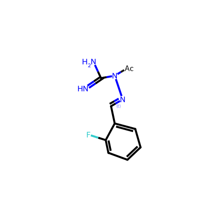 CC(=O)N(/N=C/c1ccccc1F)C(=N)N